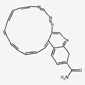 NC(=O)C1=CC=c2c(ncc3c2=CC=CC=CC=CC=CC=CN=NN=N3)C1